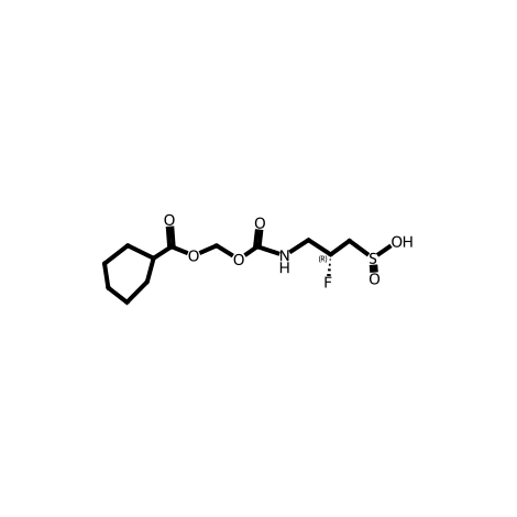 O=C(NC[C@@H](F)CS(=O)O)OCOC(=O)C1CCCCC1